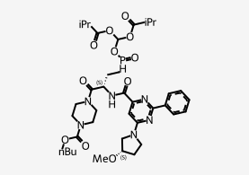 CCCCOC(=O)N1CCN(C(=O)[C@H](CC[PH](=O)OC(OC(=O)C(C)C)OC(=O)C(C)C)NC(=O)c2cc(N3CC[C@H](OC)C3)nc(-c3ccccc3)n2)CC1